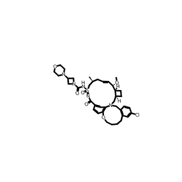 CO[C@H]1/C=C/C[C@H](C)CS(=O)(NC(=O)N2CC(N3CCOCC3)C2)=NC(=O)c2ccc3c(c2)N(Cc2ccc(Cl)cc2CCCCO3)C[C@@H]2CC[C@H]21